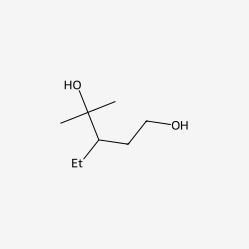 CCC(CCO)C(C)(C)O